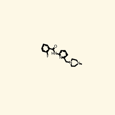 CN1CCN(Cc2cccc(NC(=O)c3ccccc3F)n2)CC1